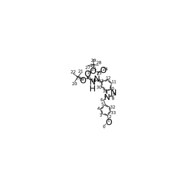 COc1ccc(Cn2cnc3ccc(N(NC(=O)OC(C)(C)C)C(=O)OC(C)(C)C)cc32)cc1